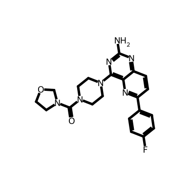 Nc1nc(N2CCN(C(=O)N3CCOC3)CC2)c2nc(-c3ccc(F)cc3)ccc2n1